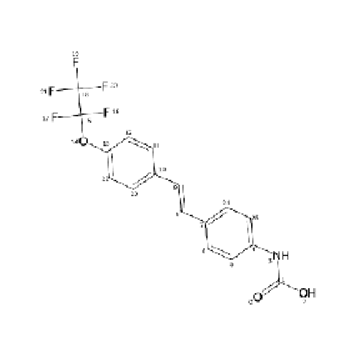 O=C(O)Nc1ccc(/C=C/c2ccc(OC(F)(F)C(F)(F)F)cc2)cc1